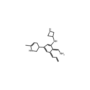 C=C/C=c1/cc(C2CC=C(C)NC2)cc(NC2CNC2)/c1=C/N